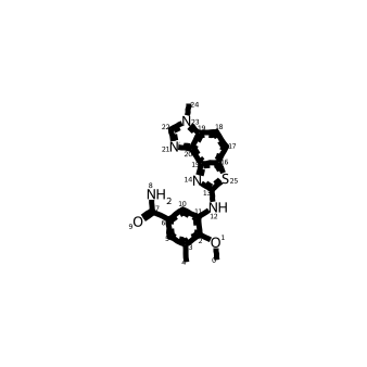 COc1c(C)cc(C(N)=O)cc1Nc1nc2c(ccc3c2ncn3C)s1